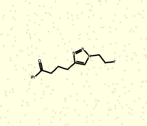 CC(C)C(=O)CCCc1cn(CCF)nn1